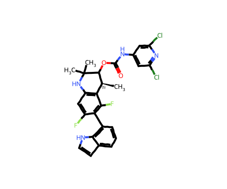 C[C@H]1c2c(cc(F)c(-c3cccc4cc[nH]c34)c2F)NC(C)(C)C1OC(=O)Nc1cc(Cl)nc(Cl)c1